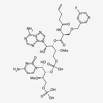 C=CCCC(=O)N[C@@H](COCc1cncc(F)c1)C(=O)O[C@@H]([C@@H](O)n1cnc2c(N)ncnc21)[C@@H](COP(=O)(O)O[C@@H]([C@@H](O)n1ccc(N)nc1=O)[C@@H](COP(=O)(O)O)OC)OC